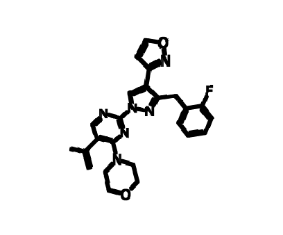 C=C(C)c1cnc(-n2cc(-c3ccon3)c(Cc3ccccc3F)n2)nc1N1CCOCC1